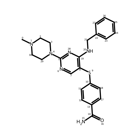 CN1CCN(c2ncc(Sc3ccc(C(N)=O)cc3)c(NCc3ccccc3)n2)CC1